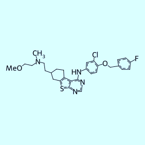 COCCN(C)CCC1CCc2c(sc3ncnc(Nc4ccc(OCc5ccc(F)cc5)c(Cl)c4)c23)C1